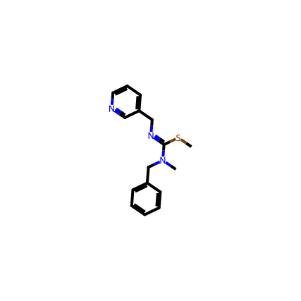 CSC(=NCc1cccnc1)N(C)Cc1ccccc1